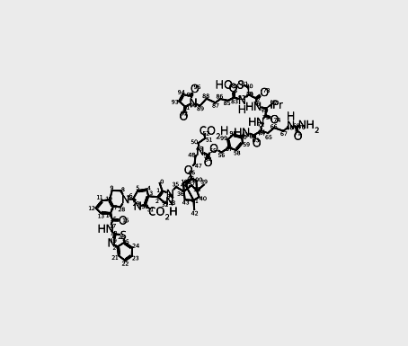 Cc1c(-c2ccc(N3CCc4cccc(C(=O)Nc5nc6ccccc6s5)c4C3)nc2C(=O)O)cnn1CC12CC3(C)CC(C)(C1)CC(OCCN(CCC(=O)O)C(=O)OCc1ccc(NC(=O)[C@H](CCCNC(N)=O)NC(=O)[C@@H](NC(=O)[C@H](CS(=O)(=O)O)NC(=O)CCCCCN4C(=O)C=CC4=O)C(C)C)cc1)(C3)C2